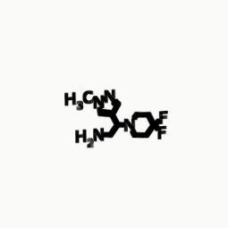 Cn1cc(C(CN)N2CCC(F)(F)CC2)cn1